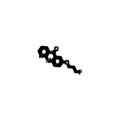 Nc1ncccc1C(=O)c1cccc(OCCCF)c1